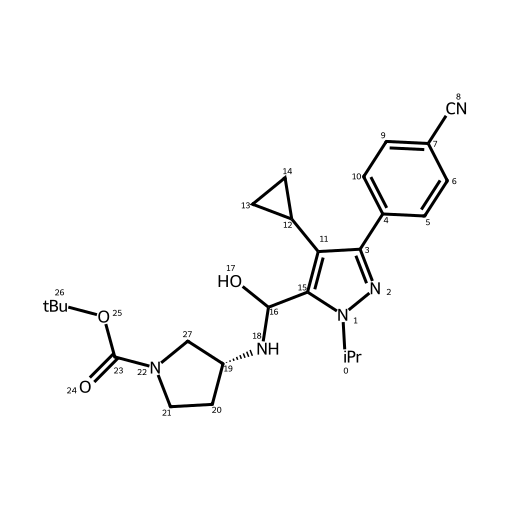 CC(C)n1nc(-c2ccc(C#N)cc2)c(C2CC2)c1C(O)N[C@@H]1CCN(C(=O)OC(C)(C)C)C1